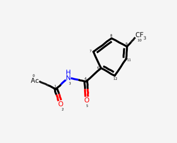 CC(=O)C(=O)NC(=O)c1ccc(C(F)(F)F)cc1